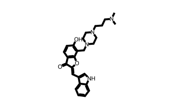 CN(C)CCCN1CCN(Cc2c(O)ccc3c2O/C(=C\c2c[nH]c4ccccc24)C3=O)CC1